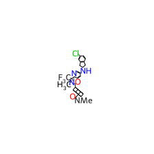 CNC(=O)C12C3C4C1C1C2C3C41C(=O)N(C)[C@@H](c1ccc(NC2Cc3ccc(Cl)cc3C2)cn1)C(F)(F)F